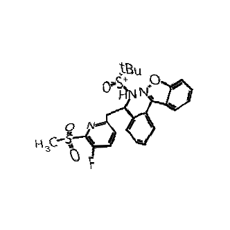 CC(C)(C)[S@+]([O-])NC(Cc1ccc(F)c(S(C)(=O)=O)n1)c1ccccc1-c1noc2ccccc12